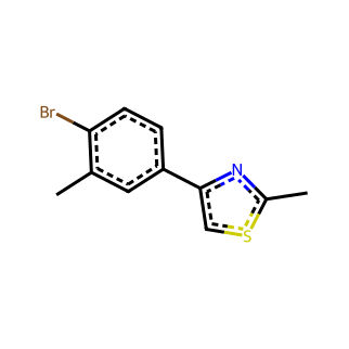 Cc1nc(-c2ccc(Br)c(C)c2)cs1